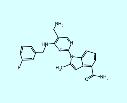 Cc1cc2c(C(N)=O)cccc2n1-c1ncc(CN)c(NCc2cccc(F)c2)n1